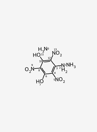 N.N.Nc1c([N+](=O)[O-])c(O)c([N+](=O)[O-])c(O)c1[N+](=O)[O-]